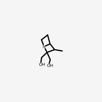 CC1C2CCN2C1(CO)CO